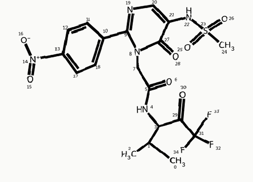 CC(C)C(NC(=O)Cn1c(-c2ccc([N+](=O)[O-])cc2)ncc(NS(C)(=O)=O)c1=O)C(=O)C(F)(F)F